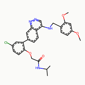 COc1ccc(CNc2cnnc3cc(-c4cc(Cl)ccc4OCC(=O)NC(C)C)ccc23)c(OC)c1